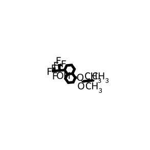 CCC(C)(C)C(=O)OC1CCCC2C1CCCC2C(O)(C(F)(F)F)C(F)(F)F